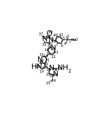 C#CC(C)(C)c1ccc(-n2c(-c3cc(-c4cnc5[nH]cc(-c6cc(CC)nc(N)n6)c5c4)ccn3)cn(C)c2=O)cc1